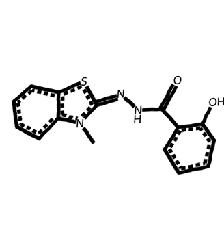 Cn1c(=NNC(=O)c2ccccc2O)sc2ccccc21